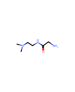 CN(C)CCNC(=O)CN